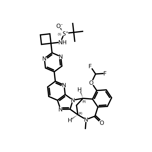 CN1C(=O)c2cccc(OC(F)F)c2[C@H]2C[C@@H]1c1nc3ccc(-c4cnc(C5(N[S@+]([O-])C(C)(C)C)CCC5)nc4)nc3n12